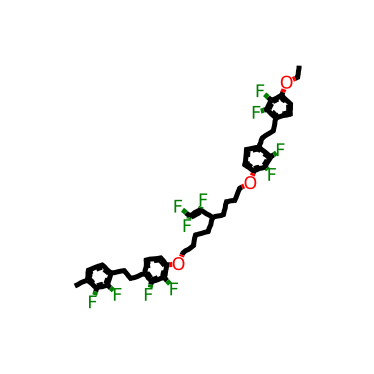 CCOc1ccc(CCc2ccc(OCCCCC(CCCCOc3ccc(CCc4ccc(C)c(F)c4F)c(F)c3F)C(F)=C(F)F)c(F)c2F)c(F)c1F